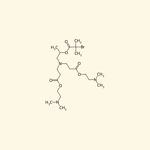 CC(CN(CCC(=O)OCCN(C)C)CCC(=O)OCCN(C)C)OC(=O)C(C)(C)Br